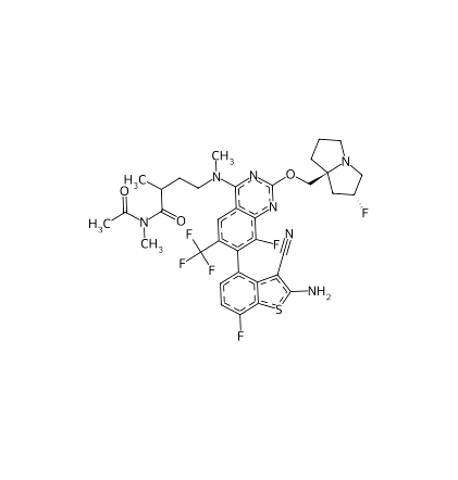 CC(=O)N(C)C(=O)C(C)CCN(C)c1nc(OC[C@@]23CCCN2C[C@H](F)C3)nc2c(F)c(-c3ccc(F)c4sc(N)c(C#N)c34)c(C(F)(F)F)cc12